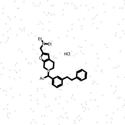 CCN(CC)Cc1cc2c(o1)CN(C(C(C)=O)c1cccc(CCc3ccccc3)c1)CC2.Cl